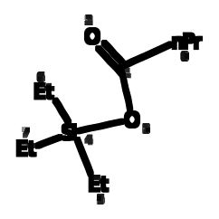 [CH2]CCC(=O)O[Si](CC)(CC)CC